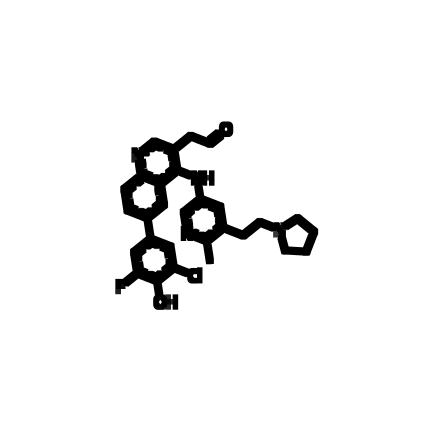 Cc1ncc(Nc2c(CC=O)cnc3ccc(-c4cc(F)c(O)c(Cl)c4)cc23)cc1CCN1CCCC1